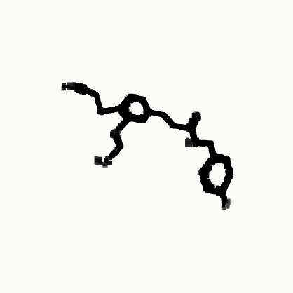 C#CCOc1ccc(CCC(=O)NCc2ccc(Cl)cc2)cc1OCC